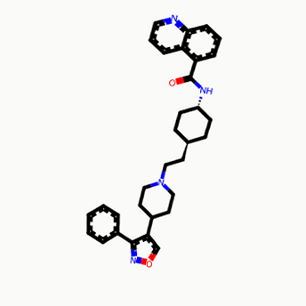 O=C(N[C@H]1CC[C@H](CCN2CCC(c3conc3-c3ccccc3)CC2)CC1)c1cccc2ncccc12